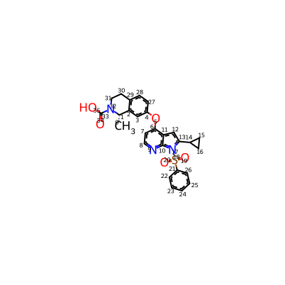 C[C@H]1c2cc(Oc3ccnc4c3cc(C3CC3)n4S(=O)(=O)c3ccccc3)ccc2CCN1C(=O)O